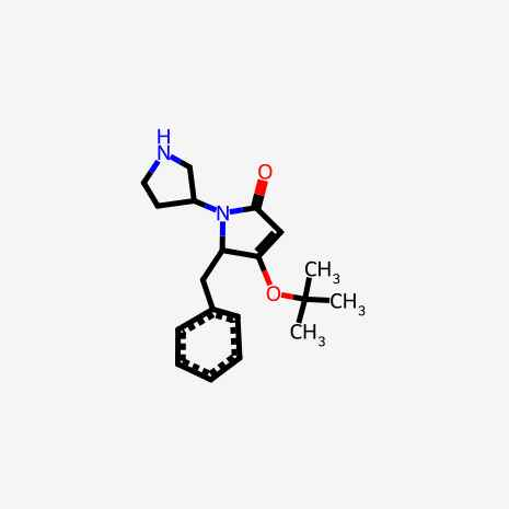 CC(C)(C)OC1=CC(=O)N(C2CCNC2)C1Cc1ccccc1